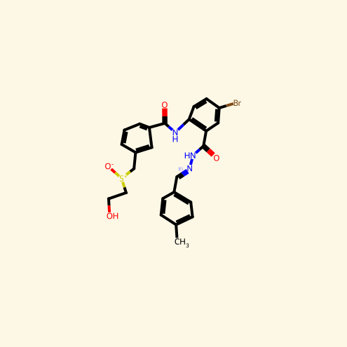 Cc1ccc(/C=N/NC(=O)c2cc(Br)ccc2NC(=O)c2cccc(C[S+]([O-])CCO)c2)cc1